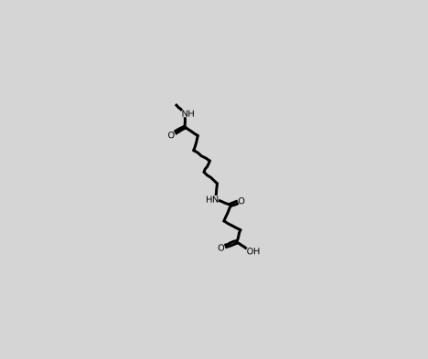 CNC(=O)CCCCCNC(=O)CCC(=O)O